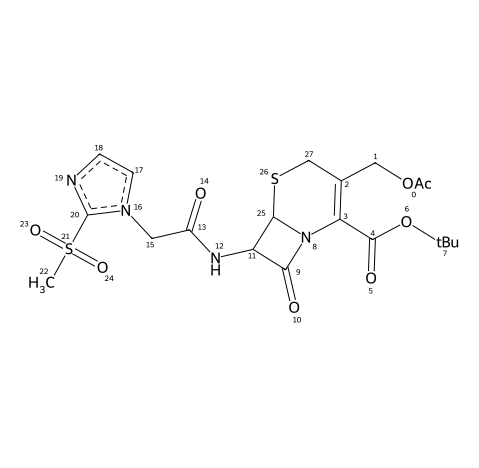 CC(=O)OCC1=C(C(=O)OC(C)(C)C)N2C(=O)C(NC(=O)Cn3ccnc3S(C)(=O)=O)C2SC1